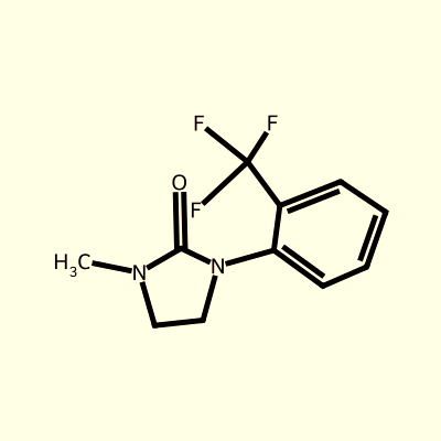 CN1CCN(c2ccccc2C(F)(F)F)C1=O